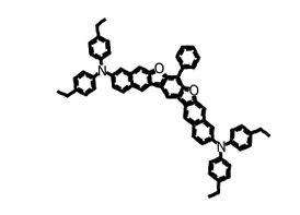 CCc1ccc(N(c2ccc(CC)cc2)c2ccc3cc4c(cc3c2)oc2c(-c3ccccc3)c3oc5cc6cc(N(c7ccc(CC)cc7)c7ccc(CC)cc7)ccc6cc5c3cc24)cc1